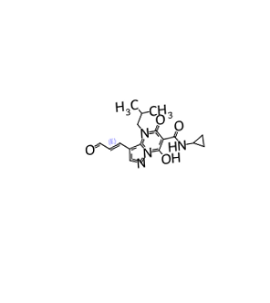 CC(C)Cn1c(=O)c(C(=O)NC2CC2)c(O)n2ncc(/C=C/C=O)c12